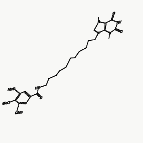 COc1cc(C(=O)NCCCCCCCCCCCN2CN(C)c3c2n(C)c(=O)[nH]c3=O)cc(OC)c1OC